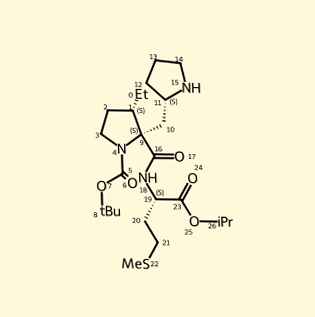 CC[C@H]1CCN(C(=O)OC(C)(C)C)[C@]1(C[C@@H]1CCCN1)C(=O)N[C@@H](CCSC)C(=O)OC(C)C